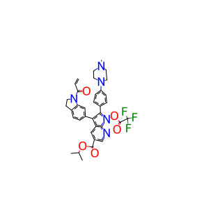 C=CC(=O)N1CCc2ccc(-c3c(-c4ccc(N5CCN(C)CC5)cc4)n(OC(=O)C(F)(F)F)c4ncc(C(=O)OC(C)C)cc34)cc21